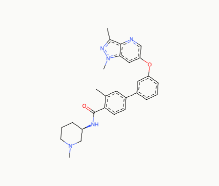 Cc1cc(-c2cccc(Oc3cnc4c(C)nn(C)c4c3)c2)ccc1C(=O)N[C@@H]1CCCN(C)C1